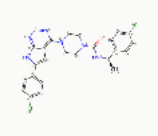 C[C@@H](NC(=O)N1CCN(c2ncnc3[nH]c(-c4ccc(Cl)cc4)cc23)CC1)c1ccc(Cl)cc1